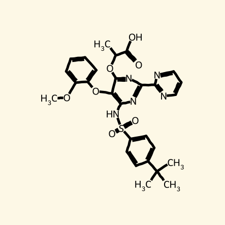 COc1ccccc1Oc1c(NS(=O)(=O)c2ccc(C(C)(C)C)cc2)nc(-c2ncccn2)nc1OC(C)C(=O)O